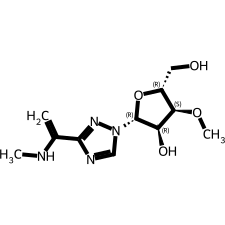 C=C(NC)c1ncn([C@@H]2O[C@H](CO)[C@@H](OC)[C@H]2O)n1